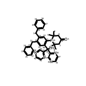 CC1(C)CC(=O)CC(C)(C)P1c1cc(Cc2ccccc2)c(Cc2ccccc2)cc1C(P)(c1cnccn1)c1cnccn1